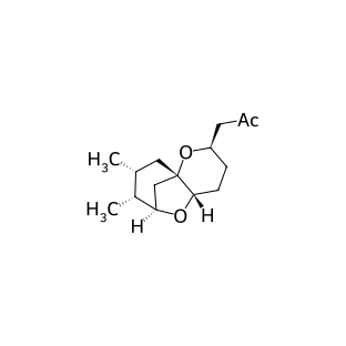 CC(=O)C[C@H]1CC[C@@H]2O[C@@H]3C[C@]2(C[C@@H](C)[C@H]3C)O1